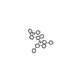 c1ccc(-c2ccc(N(c3ccc(-c4ccccc4)cc3-c3ccccc3)c3cc(-c4cccc5c6ccccc6n(-c6ccccc6)c45)cc4ccccc34)cc2)cc1